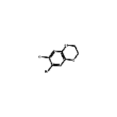 Clc1cc2c(cc1Br)OCCN2